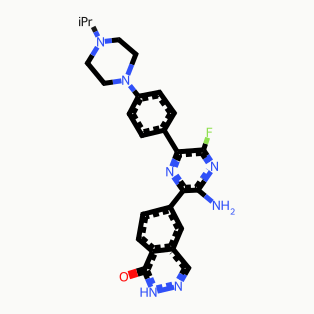 CC(C)N1CCN(c2ccc(-c3nc(-c4ccc5c(=O)[nH]ncc5c4)c(N)nc3F)cc2)CC1